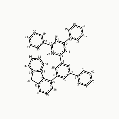 c1ccc(-c2cc(-c3nc(-c4ccccc4)nc(-c4ccccc4)n3)cc(-c3cccc4c3-c3ccccc3C4)c2)cc1